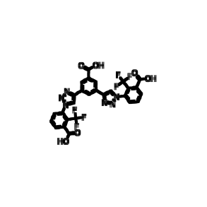 O=C(O)c1cc(-c2cn(-c3cccc(C(=O)O)c3C(F)(F)F)nn2)cc(-c2cn(-c3cccc(C(=O)O)c3C(F)(F)F)nn2)c1